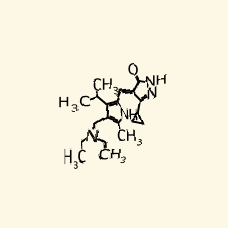 CCN(CC)Cc1c(C)[nH]c(C=C2C(=O)NN=C2C2CC2)c1C(C)C